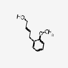 COc1ccccc1CC=CCO